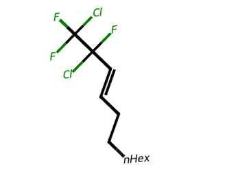 CCCCCCCCC=CC(F)(Cl)C(F)(F)Cl